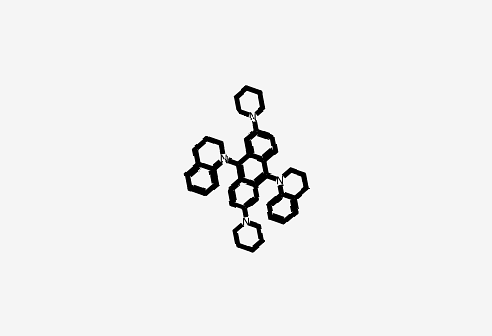 c1ccc2c(c1)CCCN2c1c2ccc(N3CCCCC3)cc2c(N2CCCc3ccccc32)c2ccc(N3CCCCC3)cc12